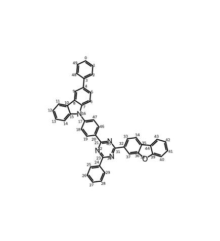 c1ccc(-c2ccc3c(c2)c2ccccc2n3-c2ccc(-c3nc(-c4ccccc4)nc(-c4ccc5c(c4)oc4ccccc45)n3)cc2)cc1